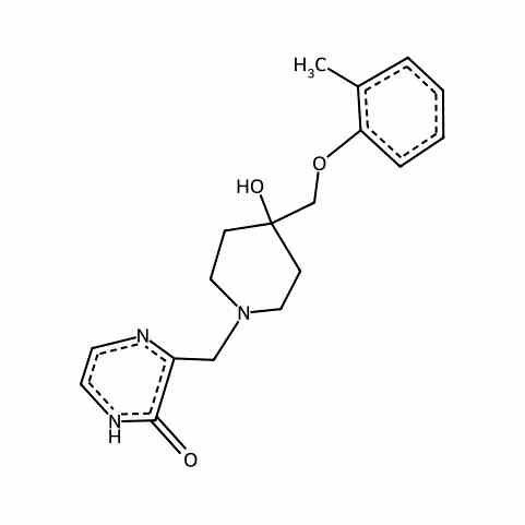 Cc1ccccc1OCC1(O)CCN(Cc2ncc[nH]c2=O)CC1